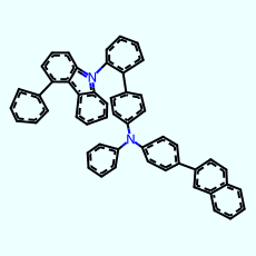 c1ccc(-c2cccc3c2c2ccccc2n3-c2ccccc2-c2ccc(N(c3ccccc3)c3ccc(-c4ccc5ccccc5c4)cc3)cc2)cc1